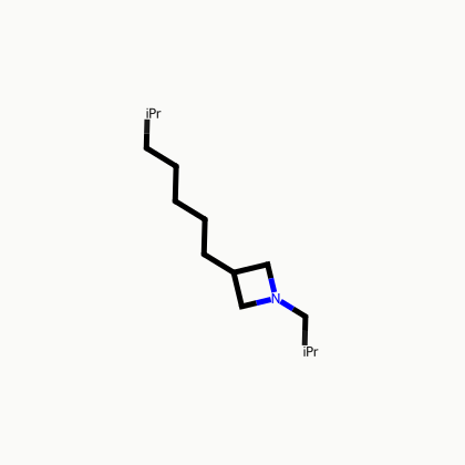 CC(C)CCCCCC1CN(CC(C)C)C1